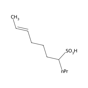 CC=CCCCC(CCC)S(=O)(=O)O